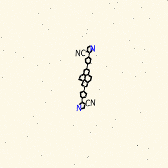 N#Cc1ccncc1-c1ccc(-c2cc3ccc4cc(-c5ccc(-c6cnccc6C#N)cc5)cc5ccc(c2)c3c45)cc1